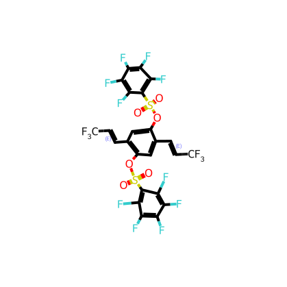 O=S(=O)(Oc1cc(/C=C/C(F)(F)F)c(OS(=O)(=O)c2c(F)c(F)c(F)c(F)c2F)cc1/C=C/C(F)(F)F)c1c(F)c(F)c(F)c(F)c1F